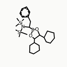 C[Si](C)(C)N(C(Cc1ccccc1)B1OC(C2CCCCC2)C(C2CCCCC2)O1)[Si](C)(C)C